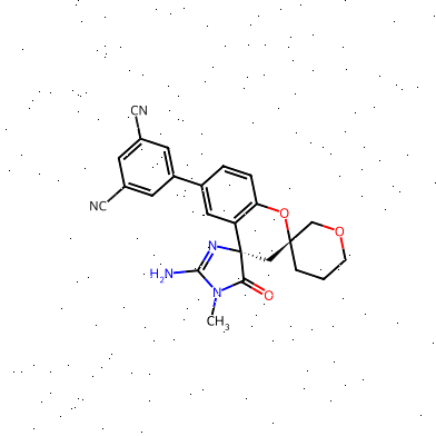 CN1C(=O)[C@@]2(C[C@@]3(CCCOC3)Oc3ccc(-c4cc(C#N)cc(C#N)c4)cc32)N=C1N